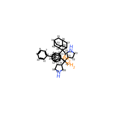 PCC1([C]23[CH]4[C]5(c6ccccc6)[CH]6[C]2(C(P)(C2CCNC2)C2CCNC2)[Fe]64532789[CH]3[CH]2[CH]7[CH]8[CH]39)C2CC3CC(C2)CC1C3